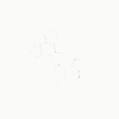 CCC(C)C(n1cncc1C(=O)O)C1(Cl)C=CC(c2ccccc2-c2nnn[nH]2)=CC1